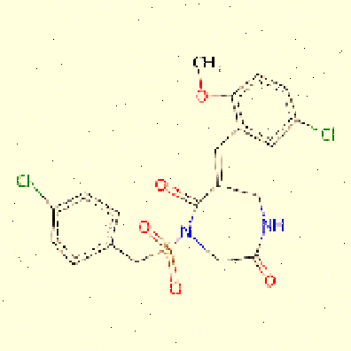 COc1ccc(Cl)cc1/C=C1\CNC(=O)CN(S(=O)(=O)Cc2ccc(Cl)cc2)C1=O